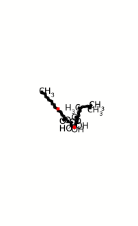 CCCCCCCCCCCCCCCC(=O)OC[C@H]1OC(OC(=O)CC/C=C(\C)CCC=C(C)C)[C@H](O)[C@@H](O)[C@@H]1O